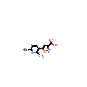 Cc1ccc(-c2cc(C(=O)O)no2)c(C)n1